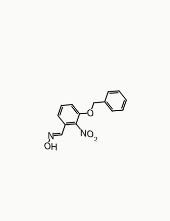 O=[N+]([O-])c1c(C=NO)cccc1OCc1ccccc1